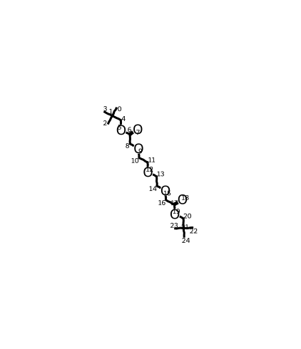 CC(C)(C)COC(=O)COCCOCCOCC(=O)OCC(C)(C)C